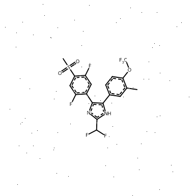 Cc1cc(-c2[nH]c(C(F)F)nc2-c2cc(F)c(S(C)(=O)=O)cc2F)ccc1OC(F)(F)F